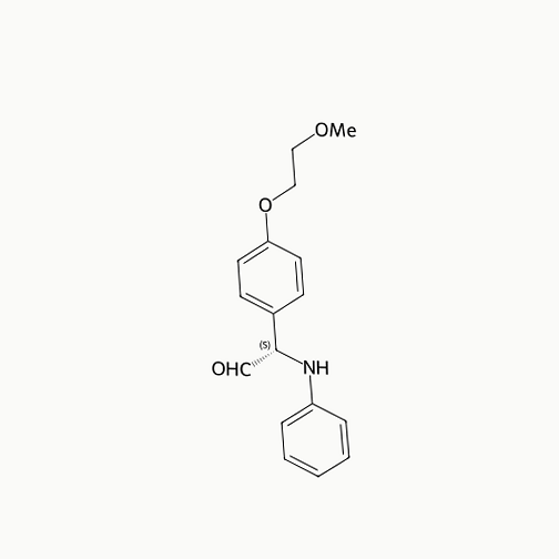 COCCOc1ccc([C@@H](C=O)Nc2ccccc2)cc1